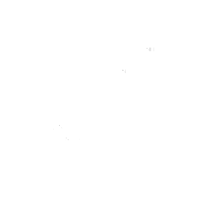 C/C=C(\C=C/C(C)c1ccc(-c2nc3cc(O)[nH]c3cc2F)cc1)SN(C)NC(F)(F)F